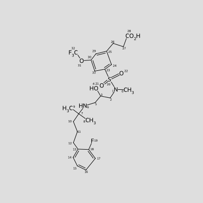 CN(CC(O)CNC(C)(C)CCCc1ccccc1F)S(=O)(=O)c1cc(CCC(=O)O)cc(OC(F)(F)F)c1